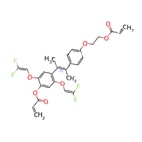 C=CC(=O)OCCOc1ccc(/C(C)=C(\C)c2cc(OC=C(F)F)c(OC(=O)C=C)cc2OC=C(F)F)cc1